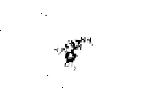 Cc1ccc(-c2csc(N)n2)cc1.N#CN